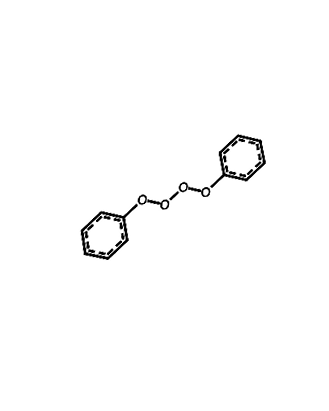 c1ccc(OOOOc2ccccc2)cc1